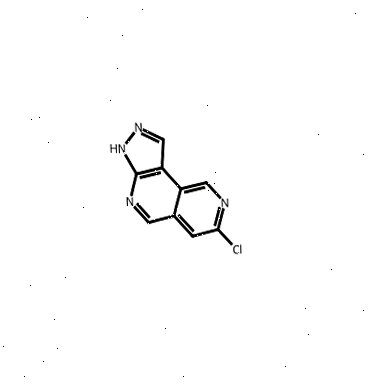 Clc1cc2cnc3[nH]ncc3c2cn1